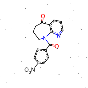 O=C1CCCN(C(=O)c2ccc([N+](=O)[O-])cc2)c2ncccc21